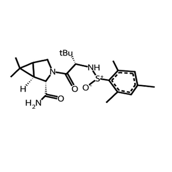 Cc1cc(C)c([S+]([O-])N[C@H](C(=O)N2CC3[C@@H]([C@H]2C(N)=O)C3(C)C)C(C)(C)C)c(C)c1